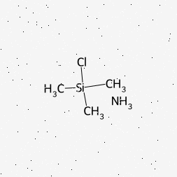 C[Si](C)(C)Cl.N